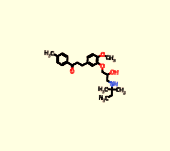 CCC(C)(C)NCC(O)COc1cc(CCC(=O)c2ccc(C)cc2)ccc1OC